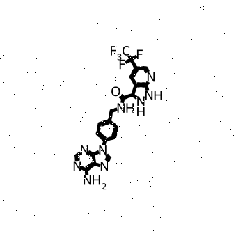 Nc1ncnc2c1ncn2-c1ccc(CNC(=O)C2NNc3ncc(C(F)(F)C(F)(F)F)cc32)cc1